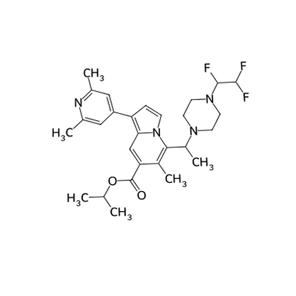 Cc1cc(-c2ccn3c(C(C)N4CCN(C(F)C(F)F)CC4)c(C)c(C(=O)OC(C)C)cc23)cc(C)n1